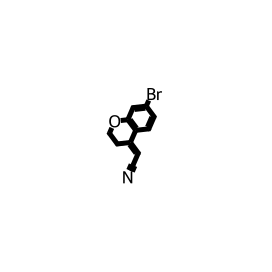 N#CC=C1CCOc2cc(Br)ccc21